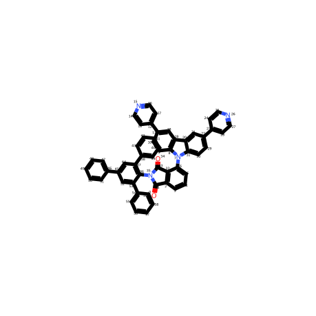 O=C1c2cccc(-n3c4ccc(-c5ccncc5)cc4c4cc(-c5ccncc5)ccc43)c2C(=O)N1c1c(-c2ccccc2)cc(-c2ccccc2)cc1-c1ccccc1